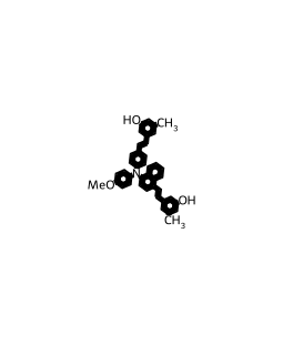 COc1ccc(N(c2ccc(C=Cc3cc(C)cc(O)c3)cc2)c2ccc(C=Cc3cc(C)cc(O)c3)c3ccccc23)cc1